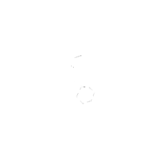 O=C(O)NCCc1ccc(F)cc1Cl